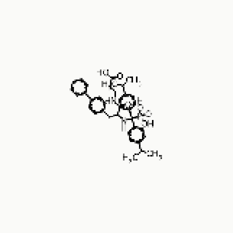 CC(C)c1ccc(C(NC(Cc2ccc(-c3ccccc3)cc2)C(=O)NCCC(=O)O)(c2ccc(C(C)C)cc2)P(=O)(O)O)cc1